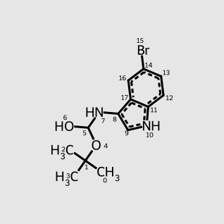 CC(C)(C)OC(O)Nc1c[nH]c2ccc(Br)cc12